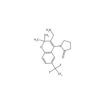 CC1(C)Oc2ccc(C(F)(F)C(F)(F)F)cc2C(N2CCCC2=O)=C1CN